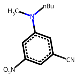 CCCCN(C)c1cc(C#N)cc([N+](=O)[O-])c1